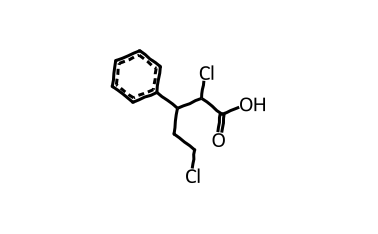 O=C(O)C(Cl)C(CCCl)c1ccccc1